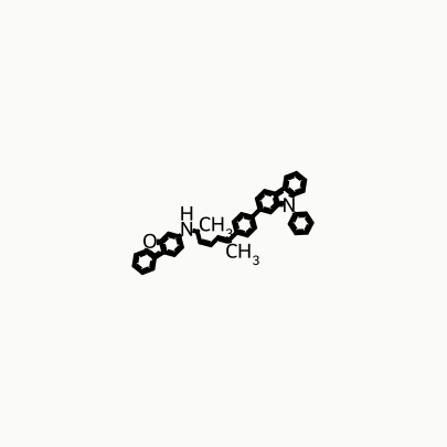 C/C(=C\C=C/[C@H](C)Nc1ccc2c(c1)oc1ccccc12)c1ccc(-c2ccc3c4ccccc4n(-c4ccccc4)c3c2)cc1